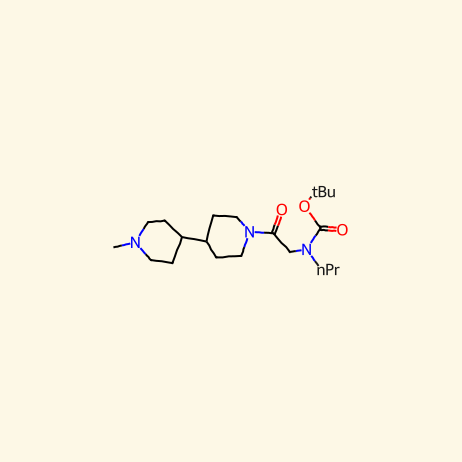 CCCN(CC(=O)N1CCC(C2CCN(C)CC2)CC1)C(=O)OC(C)(C)C